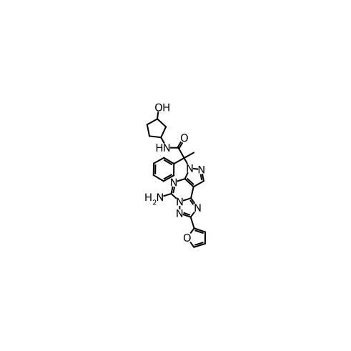 CC(C(=O)NC1CCC(O)C1)(c1ccccc1)n1ncc2c1nc(N)n1nc(-c3ccco3)nc21